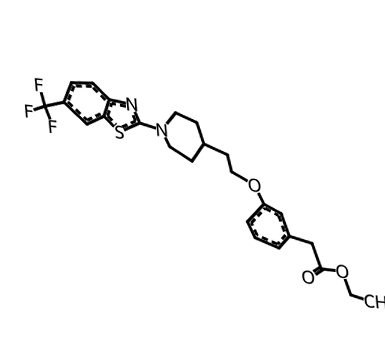 CCOC(=O)Cc1cccc(OCCC2CCN(c3nc4ccc(C(F)(F)F)cc4s3)CC2)c1